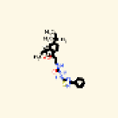 CCC(C)(C)c1ccc(C(O)CCNC(=O)NNc2nc(-c3ccccc3)ns2)c(C(C)(C)CC)c1